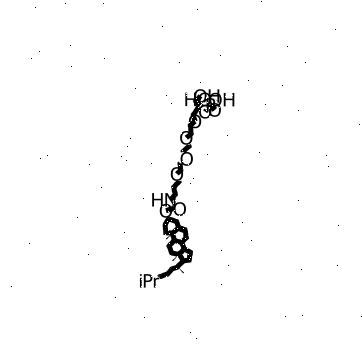 CC(C)CCC[C@@H](C)C1CCC2C3CC=C4C[C@@H](OC(=O)NCCCOCCOCCOCCOCC(CO)OP(=O)(O)O)CC[C@]4(C)C3CC[C@@]21C